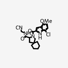 COc1ccc(Cl)c2[nH]c(C(=O)N3CC4(CCCCC4)CC3C(=O)NCC#N)cc12